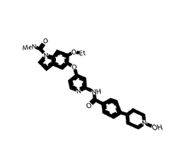 CCOc1cc2c(ccn2C(=O)NC)cc1Oc1ccnc(NC(=O)c2ccc(C3CCN(O)CC3)cc2)c1